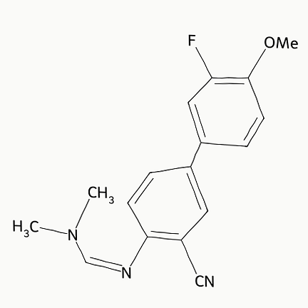 COc1ccc(-c2ccc(/N=C\N(C)C)c(C#N)c2)cc1F